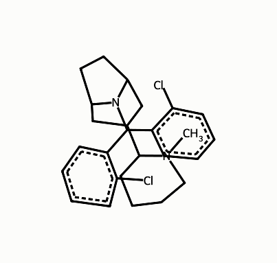 CN1CCCCC1C1CC2CCC(C1)N2C(c1ccccc1Cl)c1ccccc1Cl